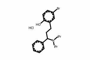 CC(C)N(C(C)C)C(CCc1cc(Br)ccc1O)c1ccccc1.Cl